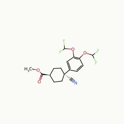 COC(=O)[C@H]1CC[C@@](C#N)(c2ccc(OC(F)F)c(OC(F)F)c2)CC1